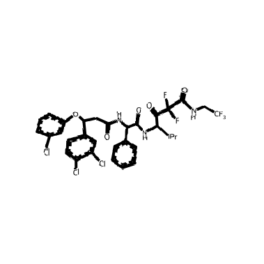 CC(C)C(NC(=O)C(NC(=O)CC(Oc1cccc(Cl)c1)c1ccc(Cl)c(Cl)c1)c1ccccc1)C(=O)C(F)(F)C(=O)NCC(F)(F)F